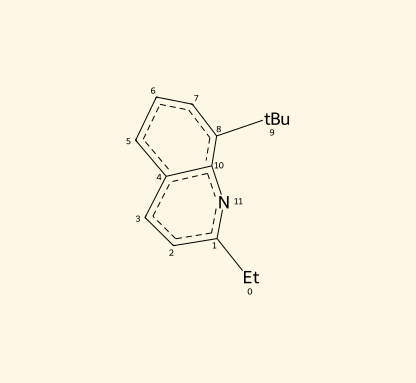 CCc1ccc2cccc(C(C)(C)C)c2n1